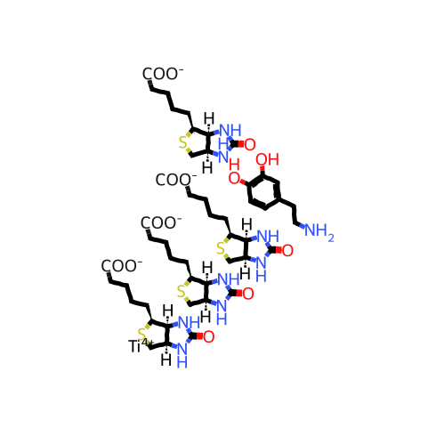 NCCc1ccc(O)c(O)c1.O=C([O-])CCCC[C@@H]1SC[C@@H]2NC(=O)N[C@@H]21.O=C([O-])CCCC[C@@H]1SC[C@@H]2NC(=O)N[C@@H]21.O=C([O-])CCCC[C@@H]1SC[C@@H]2NC(=O)N[C@@H]21.O=C([O-])CCCC[C@@H]1SC[C@@H]2NC(=O)N[C@@H]21.[Ti+4]